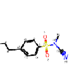 CCCc1ccc(S(=O)(=O)N(C)C#N)cc1